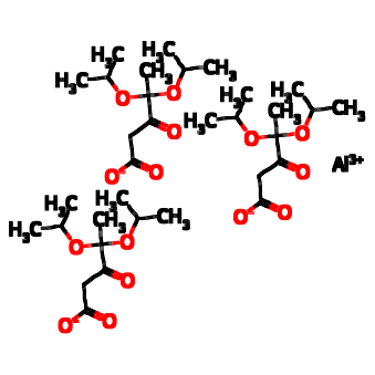 CC(C)OC(C)(OC(C)C)C(=O)CC(=O)[O-].CC(C)OC(C)(OC(C)C)C(=O)CC(=O)[O-].CC(C)OC(C)(OC(C)C)C(=O)CC(=O)[O-].[Al+3]